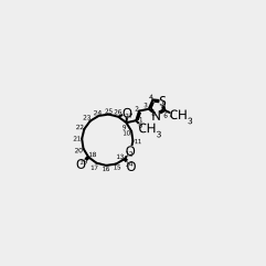 C/C(=C\c1csc(C)n1)C12CCOC(=O)CCCC(=O)CCCCCCC1O2